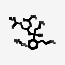 C=C.C=CCc1ccccc1C(O)(CC=C)OC(CSC(N)=S)SC(N)=S